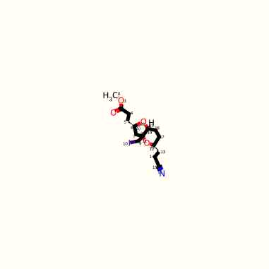 COC(=O)CC[C@H]1CC2(CI)O[C@@H](CCC#N)CC[C@@H]2O1